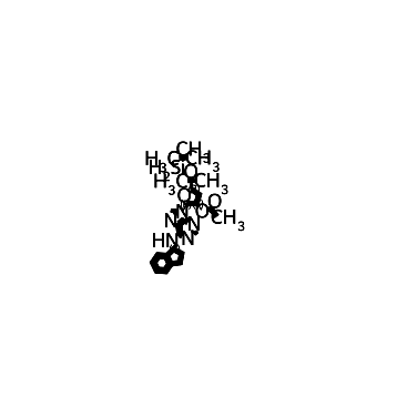 CC(=O)O[C@H]1C[C@H](C(C)(C)O[SiH2]C(C)(C)C)O[C@H]1n1cnc2c(N[C@H]3CCc4ccccc43)ncnc21